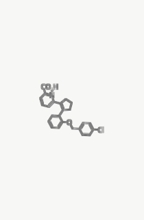 O=C(O)c1cccc(C2=C(c3ccccc3OCc3ccc(Cl)cc3)CCC2)n1